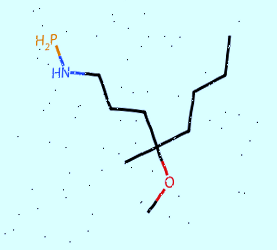 CCCCC(C)(CCCNP)OC